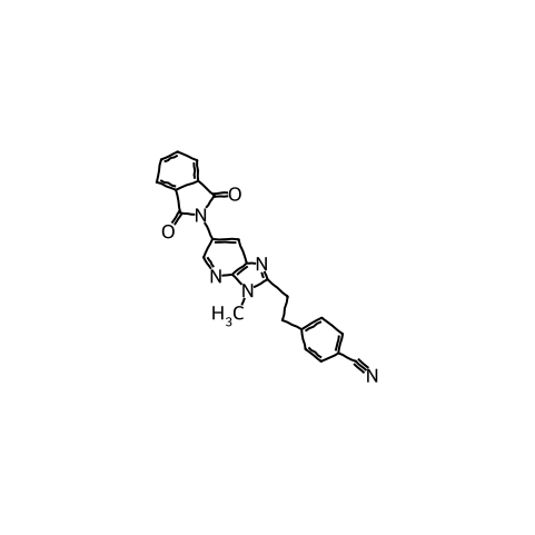 Cn1c(CCc2ccc(C#N)cc2)nc2cc(N3C(=O)c4ccccc4C3=O)cnc21